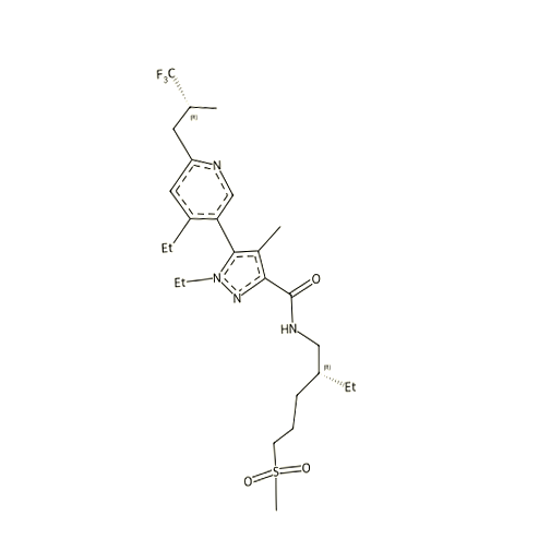 CCc1cc(C[C@@H](C)C(F)(F)F)ncc1-c1c(C)c(C(=O)NC[C@H](CC)CCCS(C)(=O)=O)nn1CC